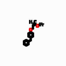 CC(C)OC(C)CCOc1ccc(Cc2ccccc2)cc1